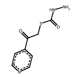 NNC(=O)SCC(=O)c1ccncc1